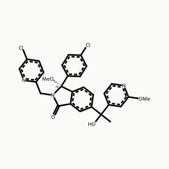 COc1cc(C(C)(O)c2ccc3c(c2)C(=O)N(Cc2ccc(Cl)cn2)[C@@]3(OC)c2ccc(Cl)cc2)ccn1